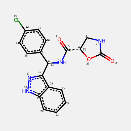 O=C1NC[C@@H](C(=O)N[C@H](c2ccc(Cl)cc2)c2n[nH]c3ccccc23)O1